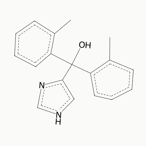 Cc1ccccc1C(O)(c1c[nH]cn1)c1ccccc1C